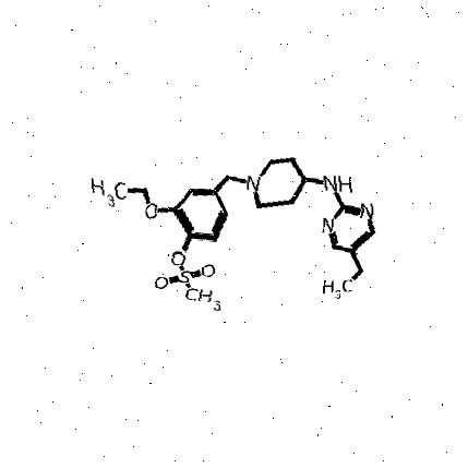 CCOc1cc(CN2CCC(Nc3ncc(CC)cn3)CC2)ccc1OS(C)(=O)=O